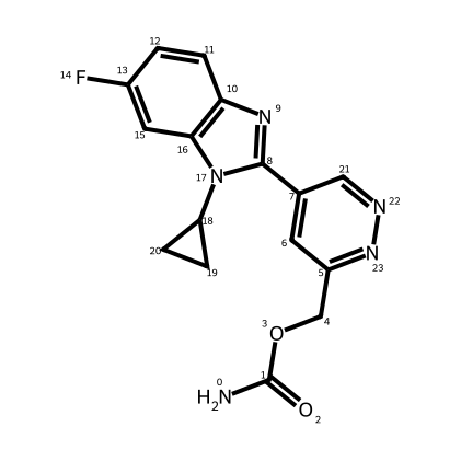 NC(=O)OCc1cc(-c2nc3ccc(F)cc3n2C2CC2)cnn1